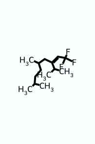 CC(C)CCC(C)C/C(=C/C(F)(F)F)C(C)C